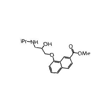 COC(=O)c1ccc2cccc(OCC(O)CNC(C)C)c2c1